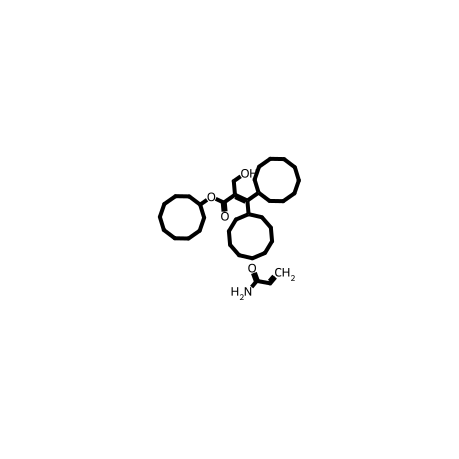 C=CC(N)=O.O=C(OC1CCCCCCCCC1)C(CO)=C(C1CCCCCCCCC1)C1CCCCCCCCC1